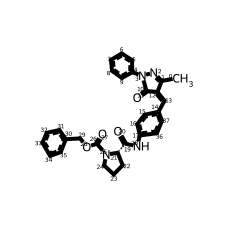 CC1=NN(c2ccccc2)C(=O)/C1=C\c1ccc(NC(=O)[C@@H]2CCCN2C(=O)OCc2ccccc2)cc1